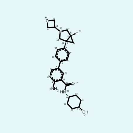 Nc1ncc(-c2ccc([C@]34C[C@H]3CN(C3COC3)C4)cc2)cc1C(=O)N[C@H]1CC[C@H](O)CC1